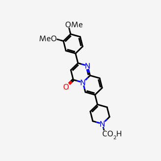 COc1ccc(-c2cc(=O)n3cc(C4=CCN(C(=O)O)CC4)ccc3n2)cc1OC